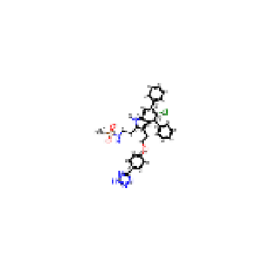 CCCCS(=O)(=O)NCCc1c(CCOc2ccc(-c3nn[nH]n3)cc2)c2c(-c3ccccc3)c(Cl)c(-c3ccccc3)cc2n1C